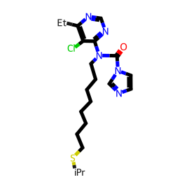 CCc1ncnc(N(CCCCCCCCSC(C)C)C(=O)n2ccnc2)c1Cl